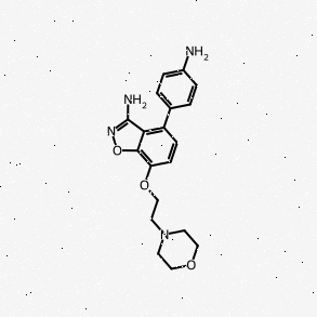 Nc1ccc(-c2ccc(OCCN3CCOCC3)c3onc(N)c23)cc1